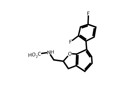 O=C(O)NCC1Cc2cccc(-c3ccc(F)cc3F)c2O1